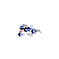 Cc1cc(Nc2cc3cc(-c4c(OC[C@H]5CCN5)cnn4C)ccn3n2)nc(C)n1